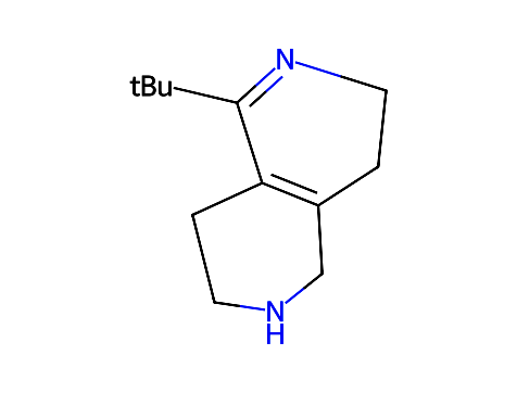 CC(C)(C)C1=NCCC2=C1CCNC2